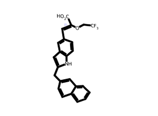 O=C(O)/C(=C/c1ccc2[nH]c(Cc3ccc4ccccc4c3)cc2c1)OCC(F)(F)F